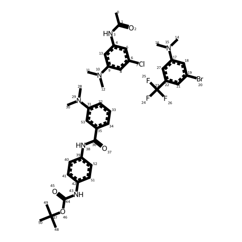 CC(=O)Nc1cc(Cl)cc(N(C)C)c1.CN(C)c1cc(Br)cc(C(F)(F)F)c1.CN(C)c1cccc(C(=O)Nc2ccc(NC(=O)OC(C)(C)C)cc2)c1